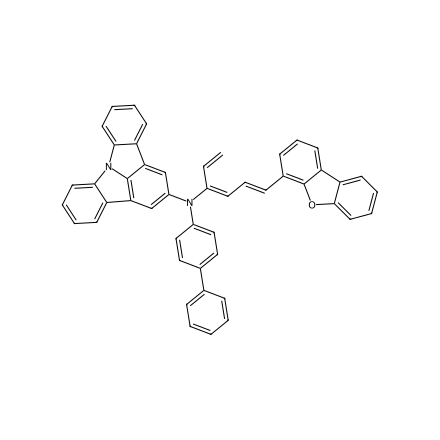 C=C/C(=C\C=C\c1cccc2c1oc1ccccc12)N(c1ccc(-c2ccccc2)cc1)c1cc2c3ccccc3n3c4ccccc4c(c1)c23